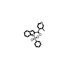 Cc1cnccc1C(=O)c1cc2ccccc2n1S(=O)(=O)c1ccccc1